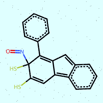 O=NC1(S)C(S)=CC2=c3ccccc3=CC2=C1c1ccccc1